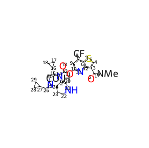 CNC(=O)c1csc2c(C(F)(F)F)cc(OC(=O)N(CC3CC3)[C@@H]3CNCC[C@@H]3N(CC3CC3)C(=O)O)nc12